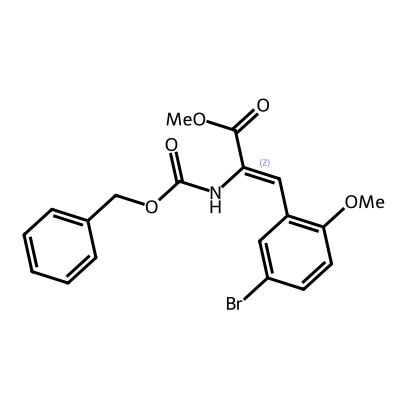 COC(=O)/C(=C/c1cc(Br)ccc1OC)NC(=O)OCc1ccccc1